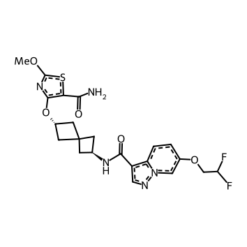 COc1nc(O[C@H]2CC3(C[C@H](NC(=O)c4cnn5cc(OCC(F)F)ccc45)C3)C2)c(C(N)=O)s1